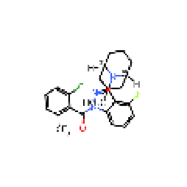 O=C(O)C1C[C@H]2CCC[C@@H](C1)N2c1nn(C(=O)c2c(Cl)cccc2C(F)(F)F)c2cccc(F)c12